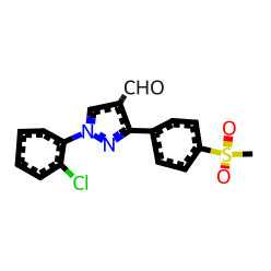 CS(=O)(=O)c1ccc(-c2nn(-c3ccccc3Cl)cc2C=O)cc1